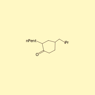 CCCCCC1CC(CC(C)C)CCC1=O